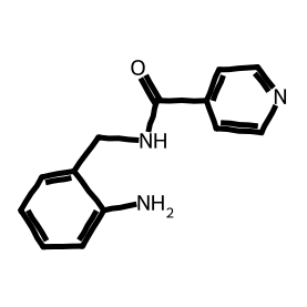 Nc1ccccc1CNC(=O)c1ccncc1